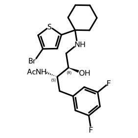 CC(=O)N[C@@H](Cc1cc(F)cc(F)c1)[C@H](O)CNC1(c2cc(Br)cs2)CCCCC1